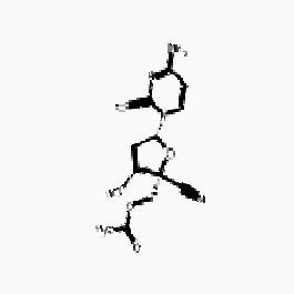 CC(=O)OC[C@@]1(C#N)O[C@@H](n2ccc(N)nc2=O)C[C@@H]1O